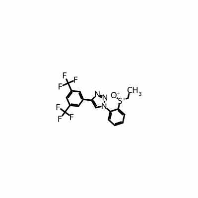 CC[S+]([O-])c1ccccc1-n1cc(-c2cc(C(F)(F)F)cc(C(F)(F)F)c2)nn1